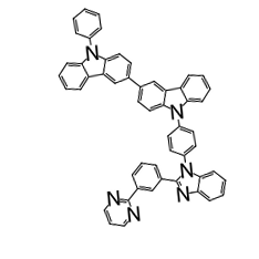 c1ccc(-n2c3ccccc3c3cc(-c4ccc5c(c4)c4ccccc4n5-c4ccc(-n5c(-c6cccc(-c7ncccn7)c6)nc6ccccc65)cc4)ccc32)cc1